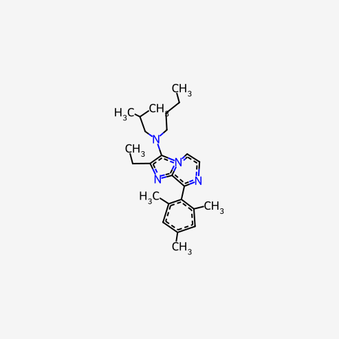 CCCCN(CC(C)C)c1c(CC)nc2c(-c3c(C)cc(C)cc3C)nccn12